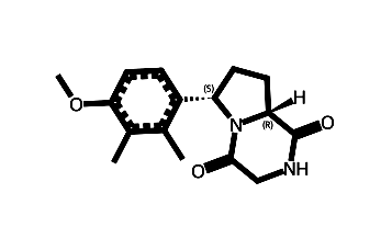 COc1ccc([C@@H]2CC[C@@H]3C(=O)NCC(=O)N32)c(C)c1C